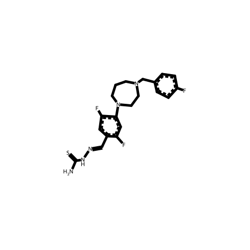 NC(=S)N/N=C/c1cc(F)c(N2CCCN(Cc3ccc(F)cc3)CC2)cc1F